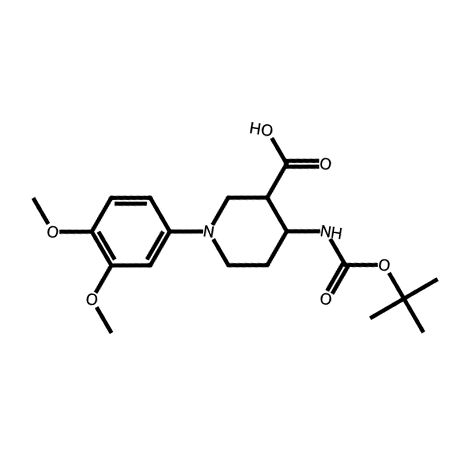 COc1ccc(N2CCC(NC(=O)OC(C)(C)C)C(C(=O)O)C2)cc1OC